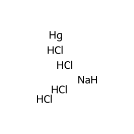 Cl.Cl.Cl.Cl.[Hg].[NaH]